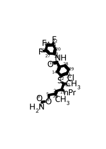 CCCC(/C=C(\C)COC(N)=O)C(C)Sc1cc(C(=O)Nc2cc(F)c(F)c(F)c2)ccc1Cl